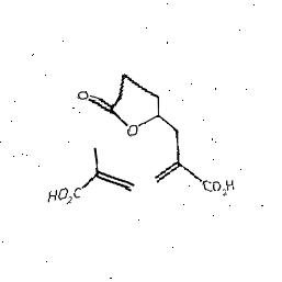 C=C(C)C(=O)O.C=C(CC1CCC(=O)O1)C(=O)O